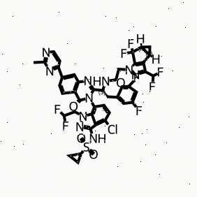 Cc1nccc(-c2ccc3c(=O)n(-c4ccc(Cl)c5c(NS(=O)(=O)C6CC6)nn(CC(F)F)c45)c([C@H](Cc4cc(F)cc(F)c4)NC(=O)Cn4nc(C(F)F)c5c4C(F)(F)[C@@H]4C[C@H]54)nc3c2)n1